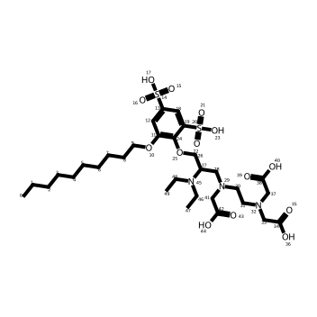 CCCCCCCCCCOc1cc(S(=O)(=O)O)cc(S(=O)(=O)O)c1OCC(CN(CCN(CC(=O)O)CC(=O)O)CC(=O)O)N(CC)CC